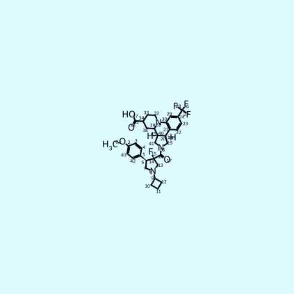 COc1ccc([C@@H]2CN(C3CCC3)C[C@@]2(F)C(=O)N2C[C@@H]3c4ccc(C(F)(F)F)cc4N4CCC(C(=O)O)CC4[C@H]3C2)cc1